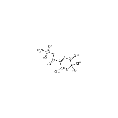 NS(=O)(=O)CC(=O)C1=CC(=O)C(Cl)(Br)C=C1Cl